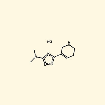 CN(C)c1nsc(C2=CCCNC2)n1.Cl